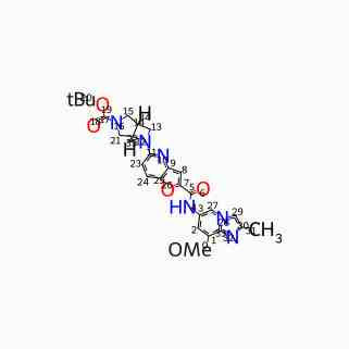 COc1cc(NC(=O)c2cc3nc(N4C[C@H]5CN(C(=O)OC(C)(C)C)C[C@H]54)ccc3o2)cn2cc(C)nc12